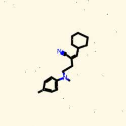 Cc1ccc(N(C)CCC(C#N)=CC2CCCCC2)cc1